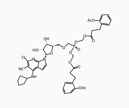 CC(=O)Oc1ccccc1CCC(=O)OCOP(=O)(COC[C@H]1O[C@@H](n2ccc3c(NC4CCCC4)c(C#N)c(Cl)nc32)[C@H](O)[C@@H]1O)OCOC(=O)CCc1ccccc1OC(C)=O